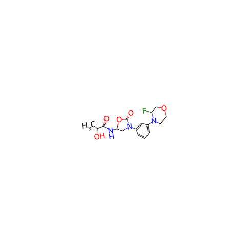 CC(O)C(=O)NC1CN(c2cccc(N3CCOCC3F)c2)C(=O)O1